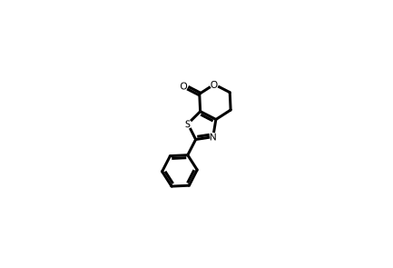 O=C1OCCc2nc(-c3ccccc3)sc21